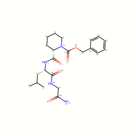 CC(C)C[C@H](NC(=O)[C@@H]1CCCCN1C(=O)OCc1ccccc1)C(=O)NCC(N)=O